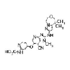 Cn1c(Nc2cc3n(n2)CCOCC3(C)C)nc2ncc(Oc3ccnc(NC(=O)O)c3)c(C#N)c21